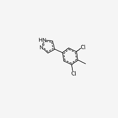 Cc1c(Cl)cc(-c2cn[nH]c2)cc1Cl